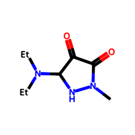 CCN(CC)C1NN(C)C(=O)C1=O